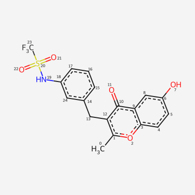 Cc1oc2ccc(O)cc2c(=O)c1Cc1cccc(NS(=O)(=O)C(F)(F)F)c1